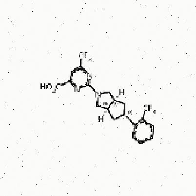 O=C(O)c1cc(C(F)(F)F)nc(N2C[C@H]3C[C@@H](c4ccccc4C(F)(F)F)C[C@H]3C2)n1